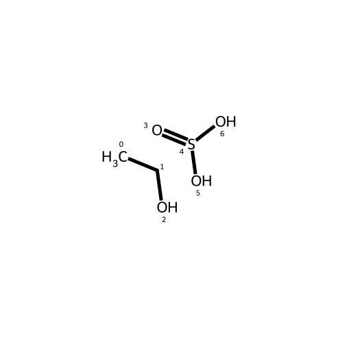 CCO.O=S(O)O